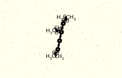 C=C(C)C(=O)Oc1ccc(C#Cc2ccc(C#Cc3ccc(C#Cc4ccc(OC(=O)C(=C)C)cc4)c(OC(=O)C(=C)C)c3)cc2)cc1